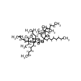 CCCCCCCCC(CCCC)(O[PH](=O)OC(CCCC)(CCCCCCCC)C(=O)NC(CC)(CC)CCCCC)C(=O)NC(CC)(CC)CCCCC